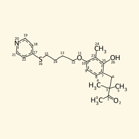 CC(=O)C(C)(C)Cc1ccc(OCCCCSc2ccncc2)c(C)c1O